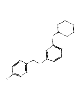 Nc1ccc(CNc2cccc(OC3CCCCC3)c2)cc1